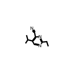 CCc1ncc(C(C)C)c(C#N)n1